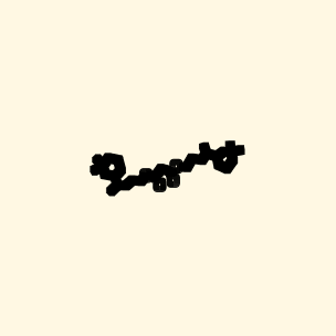 CC(CCCOC(=O)CC(=O)OCCCC(C)C1CCCC(C)(C)C1)C1CCCC(C)(C)C1